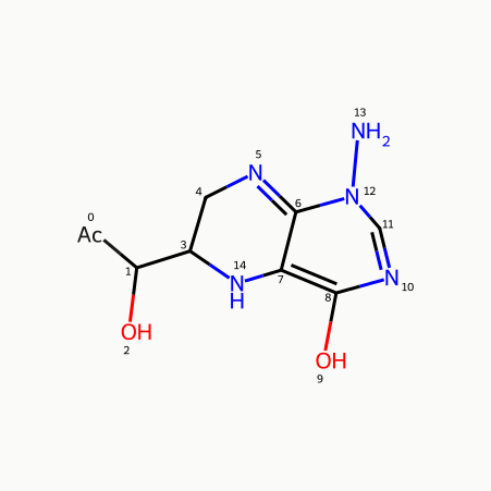 CC(=O)C(O)C1CN=C2C(=C(O)N=CN2N)N1